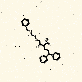 O=C(O)C(CCC(c1ccccc1)c1ccccc1)C(=O)COCCOCc1ccccc1